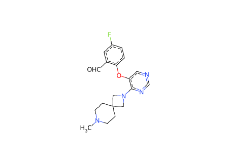 CN1CCC2(CC1)CN(c1ncncc1Oc1ccc(F)cc1C=O)C2